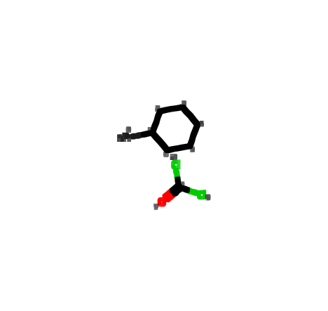 CCCC1CCCCC1.O=C(Cl)Cl